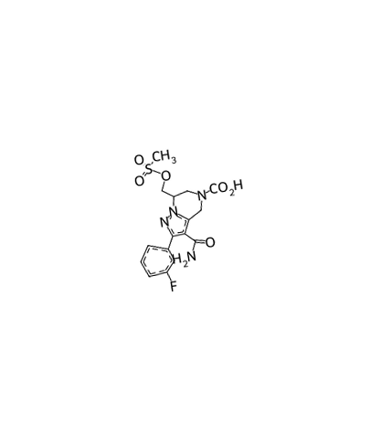 CS(=O)(=O)OCC1CN(C(=O)O)Cc2c(C(N)=O)c(-c3cccc(F)c3)nn21